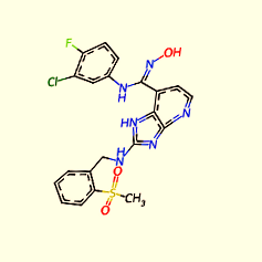 CS(=O)(=O)c1ccccc1CNc1nc2nccc(/C(=N\O)Nc3ccc(F)c(Cl)c3)c2[nH]1